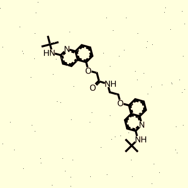 CC(C)(C)Nc1ccc2c(OCCNC(=O)COc3cccc4nc(NC(C)(C)C)ccc34)cccc2n1